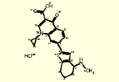 CNC1CCCc2sc(-c3ccc4c(=O)c(C(=O)O)cn(C5CC5)c4c3)cc21.Cl